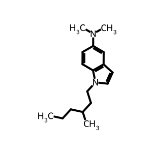 CCCC(C)CCn1ccc2cc(N(C)C)ccc21